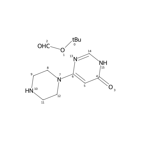 CC(C)(C)OC=O.O=c1cc(N2CCNCC2)nc[nH]1